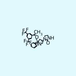 C[C@@H](OC[C@@]1(c2ccccc2)C[C@H](N2CCNC2=O)CN1)c1cc(C(F)(F)F)cc(C(F)(F)F)c1